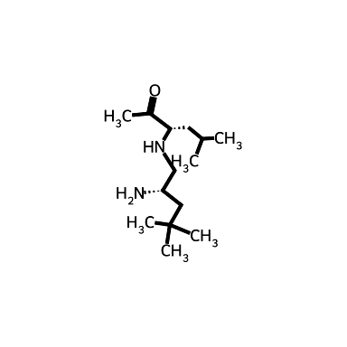 CC(=O)[C@H](CC(C)C)NC[C@@H](N)CC(C)(C)C